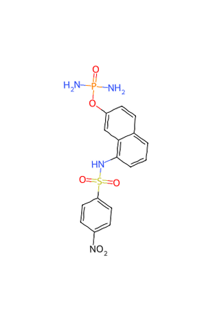 NP(N)(=O)Oc1ccc2cccc(NS(=O)(=O)c3ccc([N+](=O)[O-])cc3)c2c1